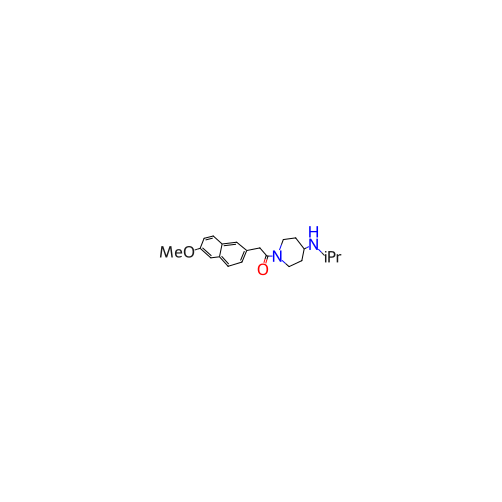 COc1ccc2cc(CC(=O)N3CCC(NC(C)C)CC3)ccc2c1